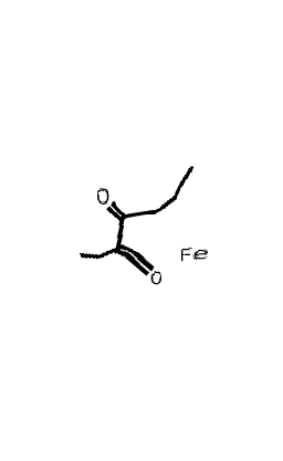 CCC(=O)C(C)=O.[Fe]